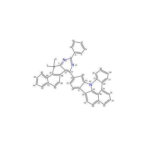 CC1(C)c2nc(-c3ccccc3)nc(-c3ccc4c5ccc6cccc7c8ccccc8n(c4c3)c5c67)c2-c2ccc3ccccc3c21